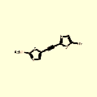 CC(=O)Nc1ncc(C#Cc2ncc(C(C)C)o2)s1